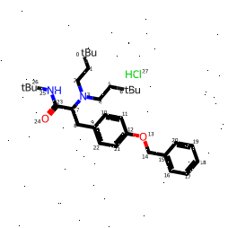 CC(C)(C)CCN(CCC(C)(C)C)C(Cc1ccc(OCc2ccccc2)cc1)C(=O)NC(C)(C)C.Cl